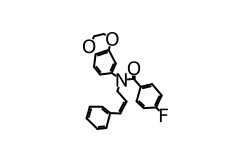 O=C(c1ccc(F)cc1)N(C/C=C\c1ccccc1)c1ccc2c(c1)OCCO2